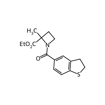 CCOC(=O)C1(C)CCN1C(=O)c1ccc2c(c1)CCS2